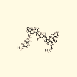 CCCCn1c(=O)c(C(=O)Nc2ccc(Oc3ccnc4cc(OC)c(OCCCN5CCC(C)CC5)cc34)c(F)c2)nn(-c2ccccc2)c1=O